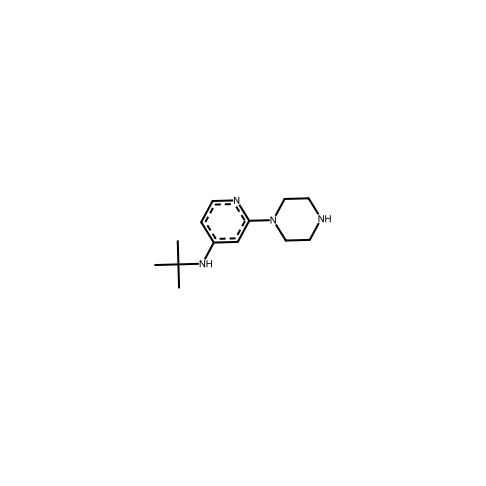 CC(C)(C)Nc1ccnc(N2CCNCC2)c1